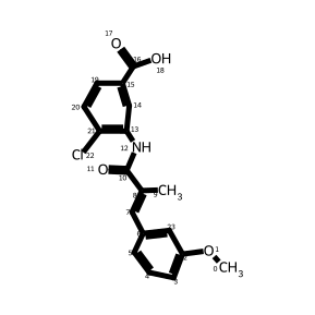 COc1cccc(/C=C(\C)C(=O)Nc2cc(C(=O)O)ccc2Cl)c1